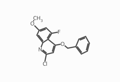 COc1cc(F)c2c(OCc3ccccc3)cc(Cl)nc2c1